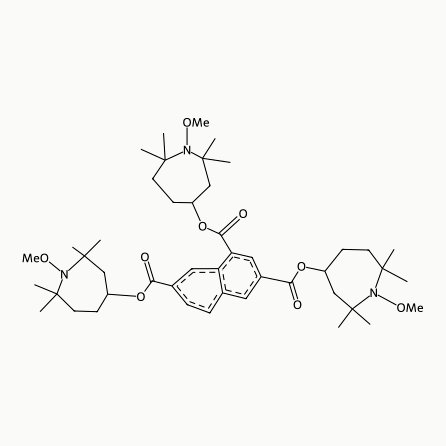 CON1C(C)(C)CCC(OC(=O)c2cc(C(=O)OC3CCC(C)(C)N(OC)C(C)(C)C3)c3cc(C(=O)OC4CCC(C)(C)N(OC)C(C)(C)C4)ccc3c2)CC1(C)C